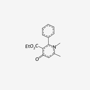 CCOC(=O)c1c(-c2ccccc2)n(C)c(C)cc1=O